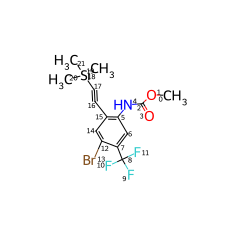 COC(=O)Nc1cc(C(F)(F)F)c(Br)cc1C#C[Si](C)(C)C